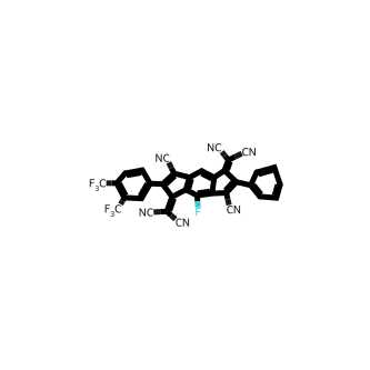 N#CC(C#N)=C1C(c2ccccc2)=C(C#N)c2c1cc1c(c2F)C(=C(C#N)C#N)C(c2ccc(C(F)(F)F)c(C(F)(F)F)c2)=C1C#N